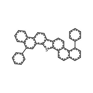 c1ccc(-c2cc3c(ccc4c5ccc6c(ccc7cccc(-c8ccccc8)c76)c5sc34)c3ccccc23)cc1